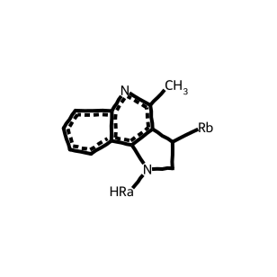 Cc1nc2ccccc2c2c1[CH]([Rb])C[N]2[RaH]